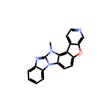 Cn1c2c3c(ccc2n2c4ccccc4nc12)oc1cnccc13